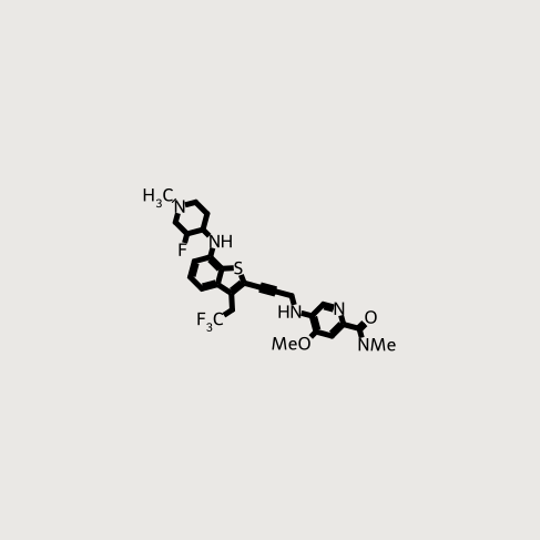 CNC(=O)c1cc(OC)c(NCC#Cc2sc3c(NC4CCN(C)CC4F)cccc3c2CC(F)(F)F)cn1